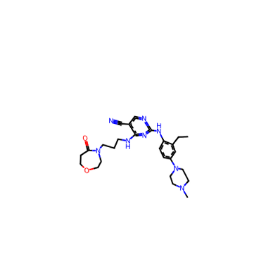 CCc1cc(N2CCN(C)CC2)ccc1Nc1ncc(C#N)c(NCCCN2CCOCCC2=O)n1